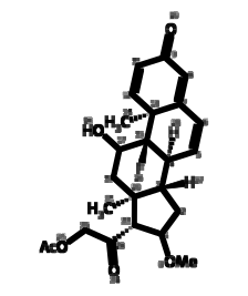 COC1C[C@H]2[C@@H]3C=CC4=CC(=O)C=C[C@]4(C)[C@@]3(F)C(O)C[C@]2(C)[C@H]1C(=O)COC(C)=O